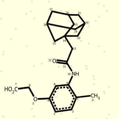 Cc1ccc(OCC(=O)O)cc1NC(=O)CC12CC3CC(CC(C3)C1)C2